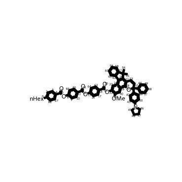 CCCCCCc1ccc(C(=O)Oc2ccc(C(=O)Oc3ccc(C(=O)Oc4cc5c6c(c7c(c5cc4OC)OC(c4ccccc4)(c4ccc(N5CCCC5)cc4)C=C7)C(C)(C)c4ccccc4-6)cc3)cc2)cc1